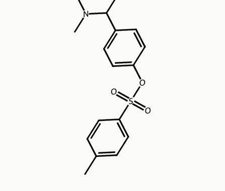 Cc1ccc(S(=O)(=O)Oc2ccc(C(C)N(C)C)cc2)cc1